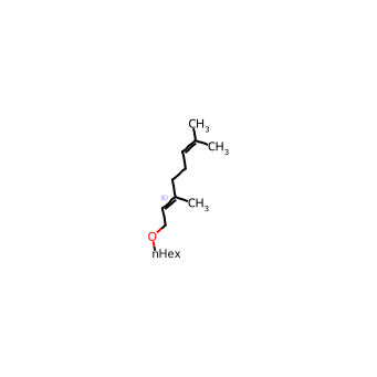 CCCCCCOC/C=C(\C)CCC=C(C)C